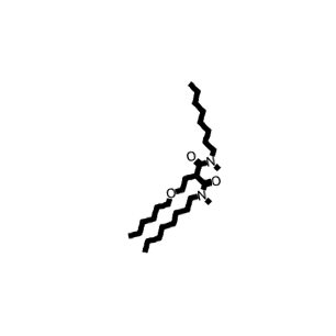 CCCCCCCCN(C)C(=O)C(CCOCCCCCC)C(=O)N(C)CCCCCCCC